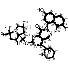 [2H]C1([2H])CC[C@@]2(C([2H])([2H])Oc3nc(N4CC5CCC4CN5)c4cnn(-c5cc(O)cc6ccc(F)c(F)c56)c(=O)c4n3)C[C@@]([2H])(F)CN12